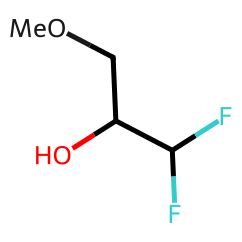 COCC(O)C(F)F